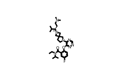 CCN(C(=O)c1cc(F)ccc1Oc1nncnc1N1CCC2(C1)CN([C@H](CCN(C)C)C(C)C)C2)C(C)C